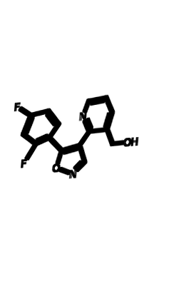 OCc1cccnc1-c1cnoc1-c1ccc(F)cc1F